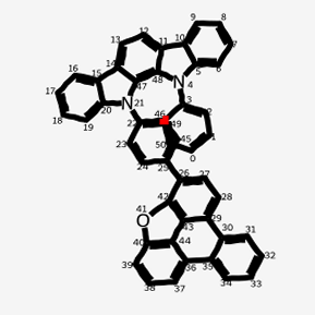 c1ccc(-n2c3ccccc3c3ccc4c5ccccc5n(-c5ccc(-c6ccc7c8ccccc8c8cccc9oc6c7c98)cc5)c4c32)cc1